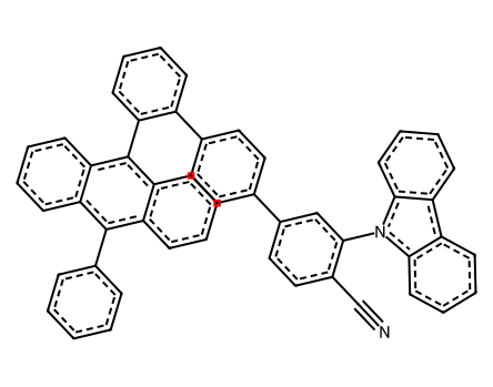 N#Cc1ccc(-c2ccc(-c3ccccc3-c3c4ccccc4c(-c4ccccc4)c4ccccc34)cc2)cc1-n1c2ccccc2c2ccccc21